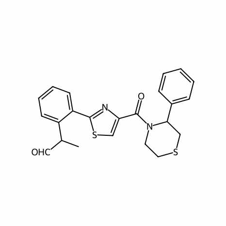 CC(C=O)c1ccccc1-c1nc(C(=O)N2CCSCC2c2ccccc2)cs1